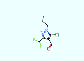 CCCn1nc(C(F)F)c(C=O)c1Cl